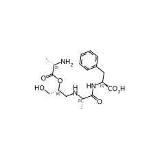 C[C@H](N)C(=O)O[C@@H](CO)CN[C@@H](C)C(=O)N[C@@H](Cc1ccccc1)C(=O)O